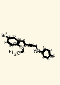 CCn1c(C#CCNc2ccc(F)cc2)cc2cc(Br)ccc21